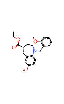 CCOC(=O)C1=Cc2cc(Br)ccc2N(Cc2ccccc2OC)CC1